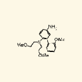 COCCN(CCOC)c1ccc(N)cc1-c1ccccc1OC